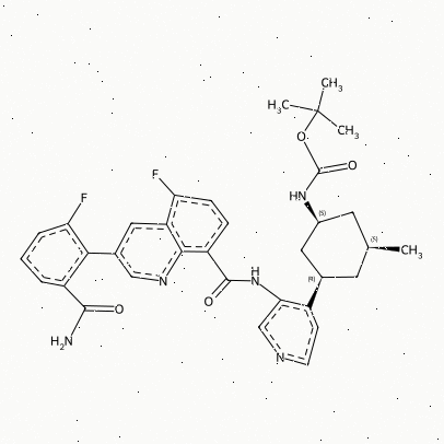 C[C@@H]1C[C@H](NC(=O)OC(C)(C)C)C[C@H](c2ccncc2NC(=O)c2ccc(F)c3cc(-c4c(F)cccc4C(N)=O)cnc23)C1